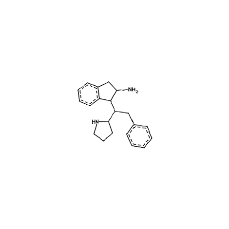 NC1Cc2ccccc2C1C(Cc1ccccc1)C1CCCN1